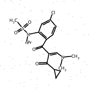 CCCN(c1cc(Cl)ccc1C(=O)/C(=C/N(C)C)C(=O)C1CC1)S(C)(=O)=O